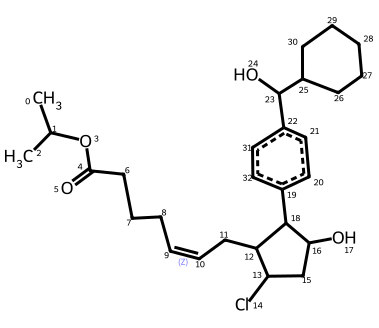 CC(C)OC(=O)CCC/C=C\CC1C(Cl)CC(O)C1c1ccc(C(O)C2CCCCC2)cc1